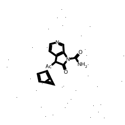 CC(=O)C1C(=O)N(C(N)=O)c2cnccc21.c1cc2cc-2c1